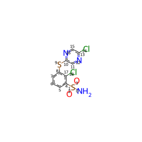 NS(=O)(=O)c1cccc(Sc2cnc(Cl)cn2)c1Cl